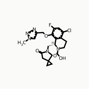 Cn1cc(COc2c(F)cc(Cl)c3c2[C@@H](CN2CC4(CC4)CC2=O)N(C(=O)O)CC3)nn1